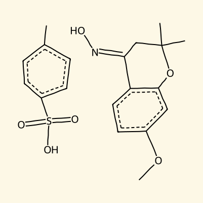 COc1ccc2c(c1)OC(C)(C)CC2=NO.Cc1ccc(S(=O)(=O)O)cc1